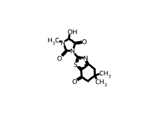 CN1C(=O)N(c2nc3c(s2)C(=O)CC(C)(C)C3)C(=O)C1O